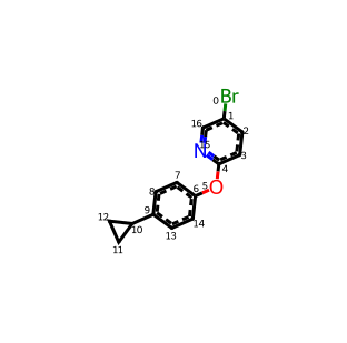 Brc1ccc(Oc2ccc(C3CC3)cc2)nc1